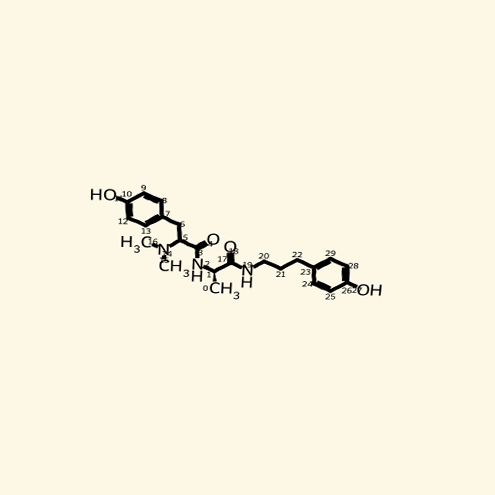 C[C@@H](NC(=O)C(Cc1ccc(O)cc1)N(C)C)C(=O)NCCCc1ccc(O)cc1